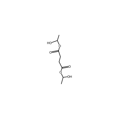 CC(O)OC(=O)CCC(=O)OC(C)O